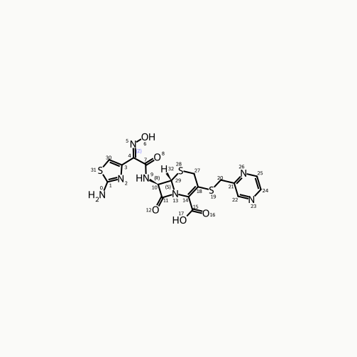 Nc1nc(/C(=N/O)C(=O)N[C@@H]2C(=O)N3C(C(=O)O)=C(SCc4cnccn4)CS[C@@H]23)cs1